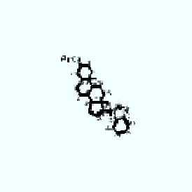 CC(=O)OC1CCC2(C)C(CCC3C4CC=C(n5cnc6ccccc65)C4(C)CCC32)C1